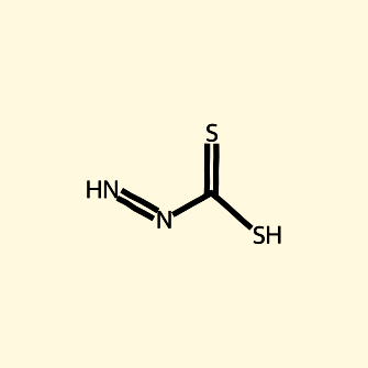 N=NC(=S)S